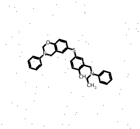 CCN(Cc1cc(Sc2ccc3c(c2)CN(c2ccccc2)CO3)ccc1C)c1ccccc1